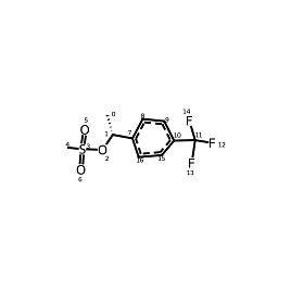 C[C@@H](OS(C)(=O)=O)c1ccc(C(F)(F)F)cc1